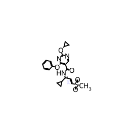 CS(=O)(=O)/C=C/[C@@H](NC(=O)c1cnc(OC2CC2)nc1Oc1ccccc1)C1CC1